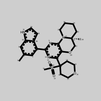 Cc1cc(-c2nc3c(c(C4(S(C)(=O)=O)CCOCC4)n2)OC[C@@H]2CCCCN32)c2cc[nH]c2c1